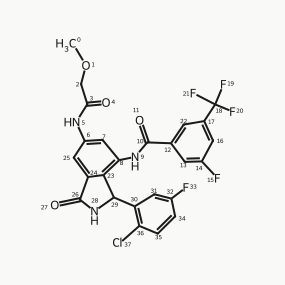 COCC(=O)Nc1cc(NC(=O)c2cc(F)cc(C(F)(F)F)c2)c2c(c1)C(=O)NC2c1cc(F)ccc1Cl